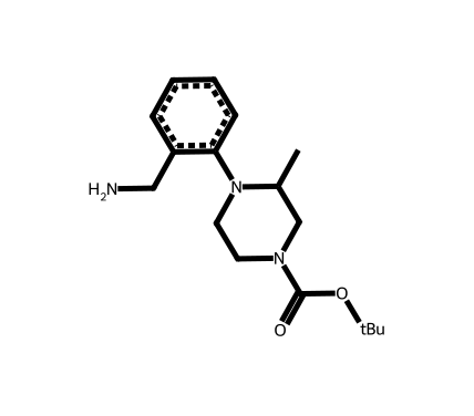 CC1CN(C(=O)OC(C)(C)C)CCN1c1ccccc1CN